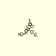 N#Cc1cc(Cl)c(Nc2nc3cnc(NC4CCC(F)(F)CC4)nc3n2[C@H]2CC[C@@H](C(N)=O)CC2)c(Cl)c1